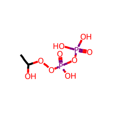 CC(O)OOP(=O)(O)OP(=O)(O)O